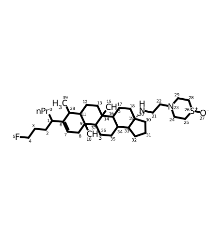 CCCC(CCCF)C1=CCC2(C)C(CCC3(C)C4CC[C@@]5(NCCN6CC[S+]([O-])CC6)CCCC5C4CCC23)C1C